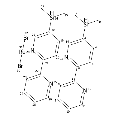 C[SiH](C)c1ccc(-c2ccccn2)nc1.C[SiH](C)c1ccc(-c2ccccn2)nc1.[Br][Ru][Br]